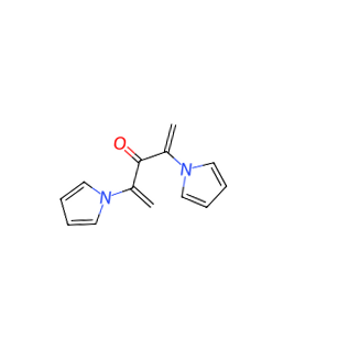 C=C(C(=O)C(=C)n1cccc1)n1cccc1